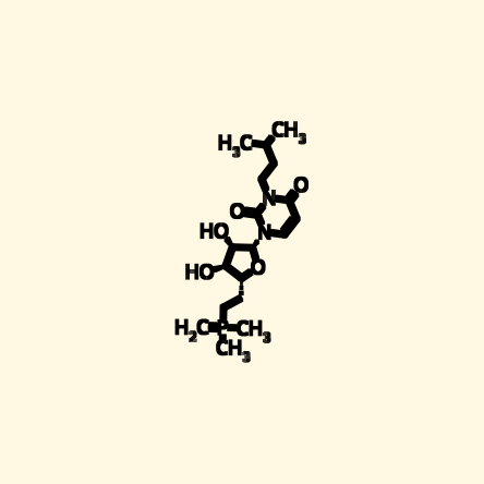 C=P(C)(C)CC[C@H]1O[C@@H](n2ccc(=O)n(CCC(C)C)c2=O)[C@H](O)[C@@H]1O